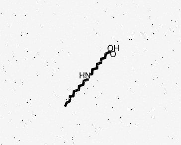 CCCCCCCCCCCNCCCCCCCCC(=O)O